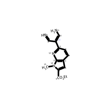 CCOC(=O)c1cc2ccc(/C(C=N)=C/N)nc2n1C